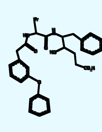 CC(C)C(NC(=O)Cc1cccc(Oc2ccccc2)c1)C(=O)NC(Cc1ccccc1)C(O)CCC(=O)O